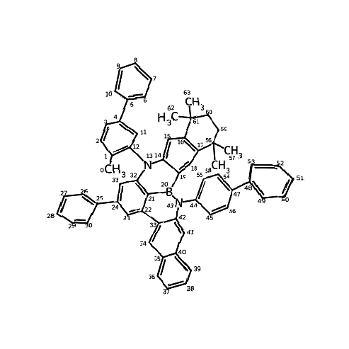 Cc1ccc(-c2ccccc2)cc1N1c2cc3c(cc2B2c4c(cc(-c5ccccc5)cc41)-c1cc4ccccc4cc1N2c1ccc(-c2ccccc2)cc1)C(C)(C)CCC3(C)C